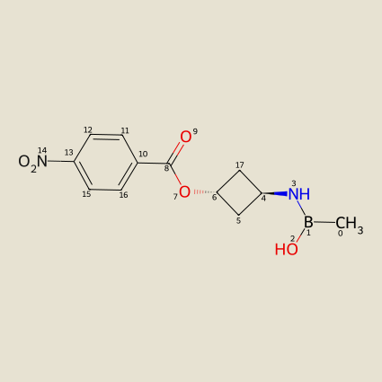 CB(O)N[C@H]1C[C@H](OC(=O)c2ccc([N+](=O)[O-])cc2)C1